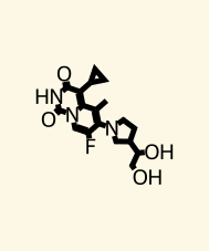 Cc1c(N2CCC(C(O)CO)C2)c(F)cn2c(=O)[nH]c(=O)c(C3CC3)c12